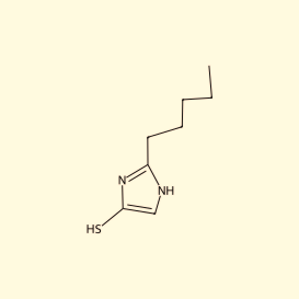 CCCCCc1nc(S)c[nH]1